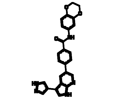 O=C(Nc1ccc2c(c1)OCCO2)c1ccc(-c2cnc3[nH]cc(-c4cn[nH]c4)c3c2)cc1